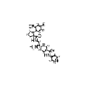 N[C@H](CNC(=O)C1CCCC1c1ccc(F)cc1Cl)C1CCC(C(=O)Nc2ccncc2)CC1